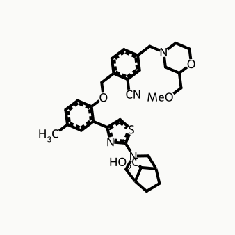 COCC1CN(Cc2ccc(COc3ccc(C)cc3-c3csc(N4CC5CCC(C4)C5C(=O)O)n3)c(C#N)c2)CCO1